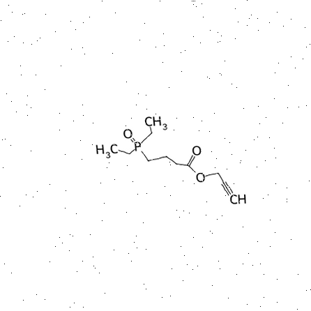 C#CCOC(=O)CCCP(=O)(CC)CC